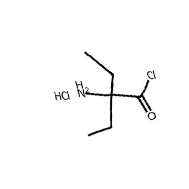 CCC(N)(CC)C(=O)Cl.Cl